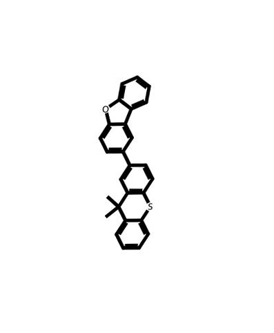 CC1(C)c2ccccc2Sc2ccc(-c3ccc4oc5ccccc5c4c3)cc21